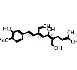 C=CC(/C=C/c1ccc(OC)c(O)c1)=C\C(O)=C(/CO)CC=C(C)C